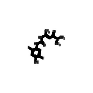 CN(C)C(=O)C=C(NC(=O)Nc1cc(F)c(C#N)cc1F)C(F)(F)F